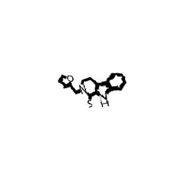 S=C1c2[nH]c3ccccc3c2CCN1Cc1ccco1